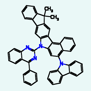 CC1(C)c2ccccc2-c2cc3c(cc21)c1c2ccccc2c(-n2c4ccccc4c4ccccc42)cc1n3-c1nc(-c2ccccc2)c2ccccc2n1